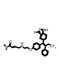 CN(C)C(=O)C=CCNCCOc1ccc(/C(=C(/CC(F)(F)F)c2ccccc2)c2ccc3[nH]nc(F)c3c2)cc1